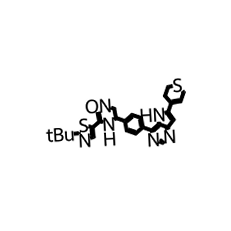 C=C(NC(CN=O)c1ccc(-c2ncnc3cc(C4=CCSCC4)[nH]c23)cc1)c1cnc(C(C)(C)C)s1